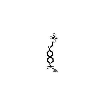 CC(C)(C)OC(=O)N1CCC2(CCC(OCCOS(C)(=O)=O)CC2)CC1